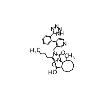 CCCCc1cn(C2C(C)CCCCCC2C(=O)O)c(=O)n1Cc1cnccc1-c1ccccc1-c1nnn[nH]1